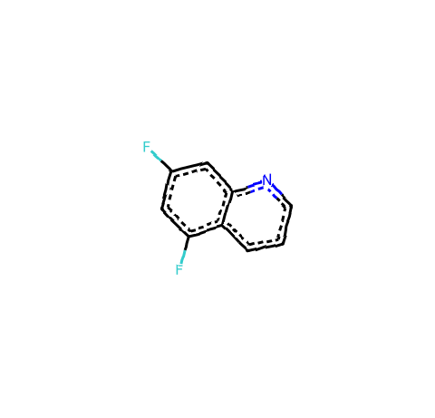 Fc1cc(F)c2cccnc2c1